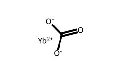 O=C([O-])[O-].[Yb+2]